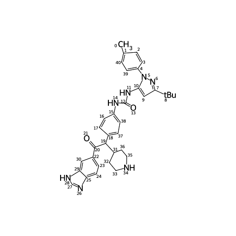 Cc1ccc(-n2nc(C(C)(C)C)cc2NC(=O)Nc2ccc(C(C(=O)c3ccc4nc[nH]c4c3)C3CCNCC3)cc2)cc1